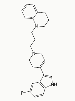 Fc1ccc2[nH]cc(C3=CCN(CCCN4CCCc5ccccc54)CC3)c2c1